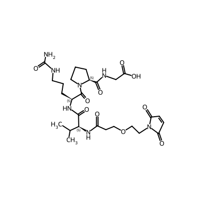 CC(C)[C@H](NC(=O)CCOCCN1C(=O)C=CC1=O)C(=O)N[C@@H](CCCNC(N)=O)C(=O)N1CCC[C@H]1C(=O)NCC(=O)O